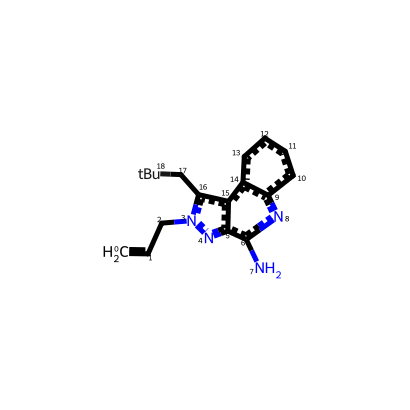 C=CCn1nc2c(N)nc3ccccc3c2c1CC(C)(C)C